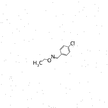 CCO/N=C/c1ccc(Cl)cc1